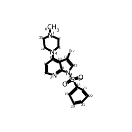 CN1CCN(c2ccnc3c2c(I)cn3S(=O)(=O)c2ccccc2)CC1